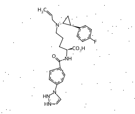 C=CCN(CCC[C@H](NC(=O)c1ccc(N2C=CNN2)cc1)C(=O)O)[C@@H]1C[C@H]1c1ccc(F)cc1